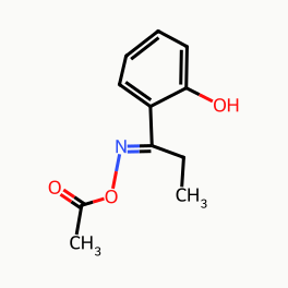 CC/C(=N\OC(C)=O)c1ccccc1O